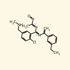 C=C(/N=C(\N=C(/C)N=O)c1cc(CNC)ccc1Cl)c1cccc(CC)c1